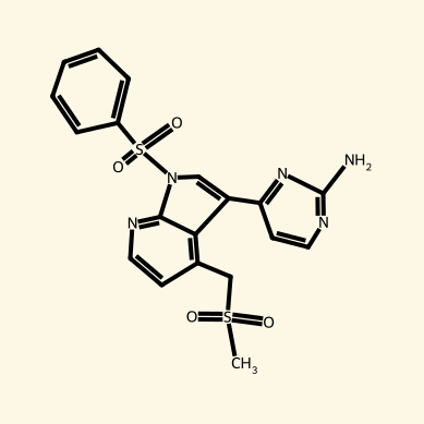 CS(=O)(=O)Cc1ccnc2c1c(-c1ccnc(N)n1)cn2S(=O)(=O)c1ccccc1